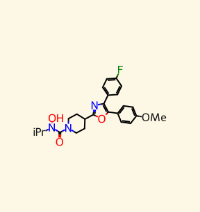 COc1ccc(-c2oc(C3CCN(C(=O)N(O)C(C)C)CC3)nc2-c2ccc(F)cc2)cc1